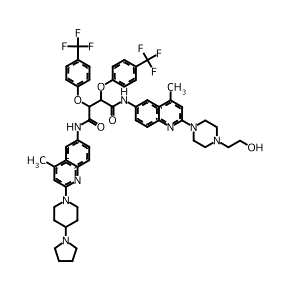 Cc1cc(N2CCC(N3CCCC3)CC2)nc2ccc(NC(=O)C(Oc3ccc(C(F)(F)F)cc3)C(Oc3ccc(C(F)(F)F)cc3)C(=O)Nc3ccc4nc(N5CCN(CCO)CC5)cc(C)c4c3)cc12